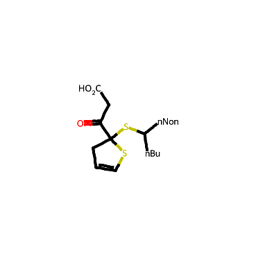 CCCCCCCCCC(CCCC)SC1(C(=O)CC(=O)O)CC=CS1